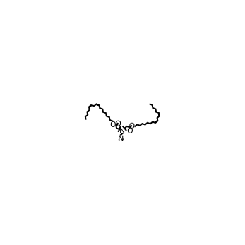 CCCCC/C=C\C/C=C\CCCCCCCCOC(=O)CC(C)(C)N(CCN(C)C)C(C)(C)CC(=O)OCCCCCCCC/C=C\C/C=C\CCCCC